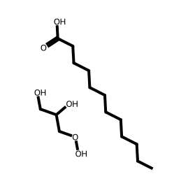 CCCCCCCCCCCC(=O)O.OCC(O)COO